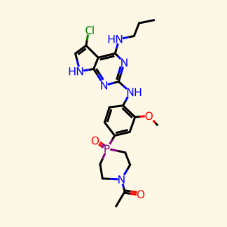 CCCNc1nc(Nc2ccc(P3(=O)CCN(C(C)=O)CC3)cc2OC)nc2[nH]cc(Cl)c12